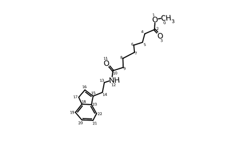 COC(=O)CCCCCCC(=O)NCCC1=CCc2ccccc21